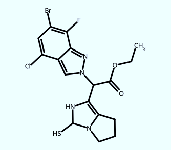 CCOC(=O)C(C1=C2CCCN2C(S)N1)n1cc2c(Cl)cc(Br)c(F)c2n1